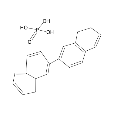 C1=Cc2ccc(-c3ccc4ccccc4c3)cc2CC1.O=P(O)(O)O